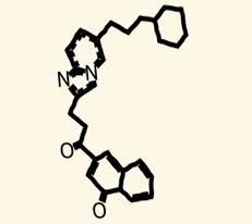 O=C(CCc1cn2cc(CCCC3CCCCC3)ccc2n1)C1=CC(=O)C2C=CC=CC2=C1